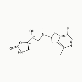 Cc1ncc(F)c2c1CC(N(C)C[C@@H](O)[C@H]1CNC(=O)O1)C2